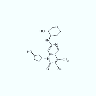 CC(=O)c1c(C)c2cnc(N[C@@H]3CCOC[C@H]3O)cc2n([C@@H]2CC[C@@H](O)C2)c1=O